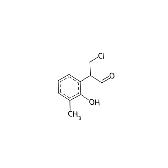 Cc1cccc(C(C=O)CCl)c1O